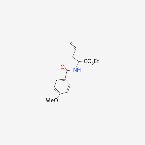 C=CCC(NC(=O)c1ccc(OC)cc1)C(=O)OCC